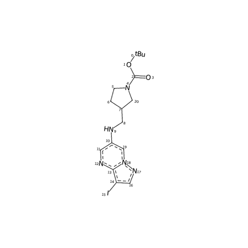 CC(C)(C)OC(=O)N1CCC(CNc2cnc3c(I)cnn3c2)C1